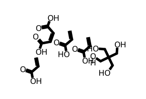 C=CC(=O)O.C=CC(=O)O.C=CC(=O)O.O=C(O)/C=C\C(=O)O.OCC(CO)(CO)CO